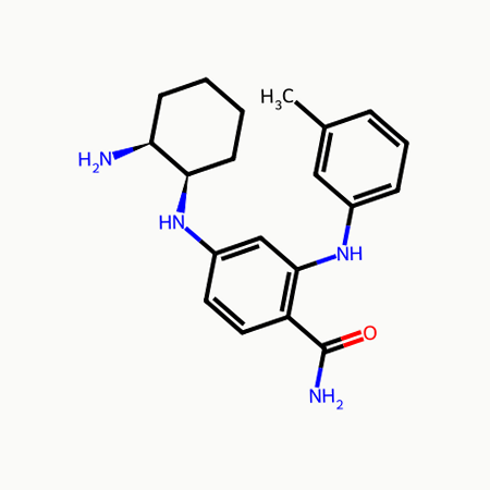 Cc1cccc(Nc2cc(N[C@@H]3CCCC[C@@H]3N)ccc2C(N)=O)c1